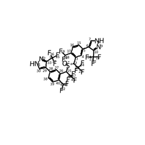 [O-][S+](C(c1cc(-c2c[nH]nc2C(F)(F)F)ccc1C(F)F)C(F)(F)F)C(c1cc(-c2c[nH]nc2C(F)(F)F)ccc1C(F)F)C(F)(F)F